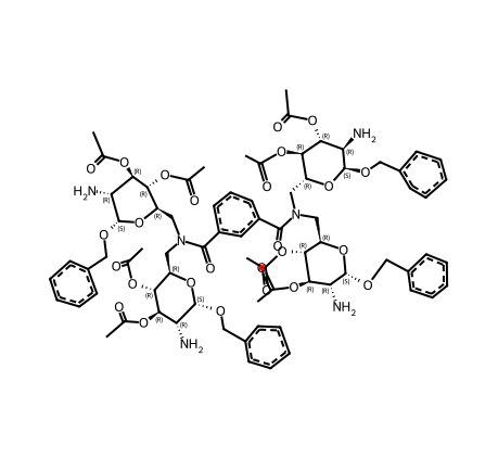 CC(=O)O[C@@H]1[C@@H](N)[C@@H](OCc2ccccc2)O[C@H](CN(C[C@H]2O[C@H](OCc3ccccc3)[C@H](N)[C@@H](OC(C)=O)[C@@H]2OC(C)=O)C(=O)c2cccc(C(=O)N(C[C@H]3O[C@H](OCc4ccccc4)[C@H](N)[C@@H](OC(C)=O)[C@@H]3OC(C)=O)C[C@H]3O[C@H](OCc4ccccc4)[C@H](N)[C@@H](OC(C)=O)[C@@H]3OC(C)=O)c2)[C@H]1OC(C)=O